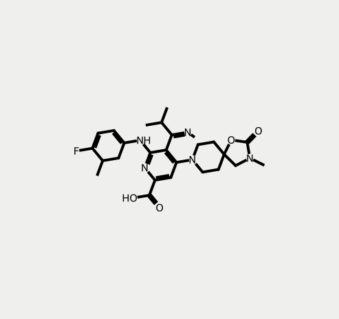 C/N=C(\c1c(N2CCC3(CC2)CN(C)C(=O)O3)cc(C(=O)O)nc1NC1=CC=C(F)C(C)C1)C(C)C